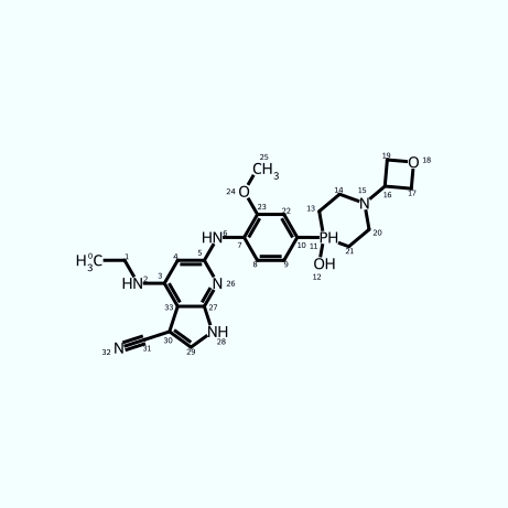 CCNc1cc(Nc2ccc([PH]3(O)CCN(C4COC4)CC3)cc2OC)nc2[nH]cc(C#N)c12